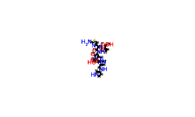 Nc1nc(C(=NOC2(C(=O)O)CC2)C(=O)N[C@@H]2C(=O)N(S(=O)(=O)O)[C@H]2Cn2ncc(CN[C@@H]3CCNC3)n2)cs1